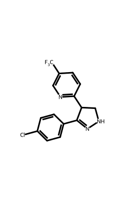 FC(F)(F)c1ccc(C2CNN=C2c2ccc(Cl)cc2)nc1